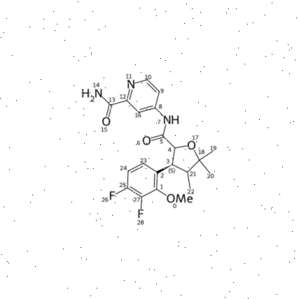 COc1c([C@H]2C(C(=O)Nc3ccnc(C(N)=O)c3)OC(C)(C)C2C)ccc(F)c1F